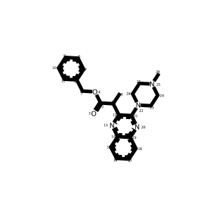 CC(C(=O)OCc1ccccc1)c1nc2ccccc2nc1N1CCN(C)CC1